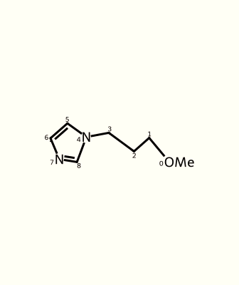 COCCCn1c[c]nc1